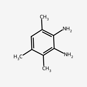 Cc1cc(C)c(N)c(N)c1C